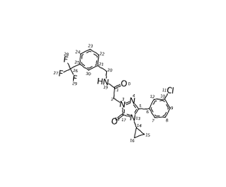 O=C(Cn1nc(-c2cccc(Cl)c2)n(C2CC2)c1=O)NCc1cccc(C(F)(F)F)c1